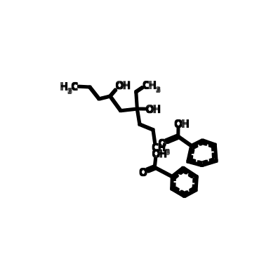 CCCC(O)CC(O)(CC)CCC.O=C(O)c1ccccc1.O=C(O)c1ccccc1